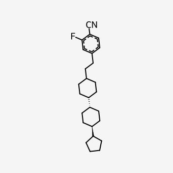 N#Cc1ccc(CCC2CCC([C@H]3CC[C@H](C4CCCC4)CC3)CC2)cc1F